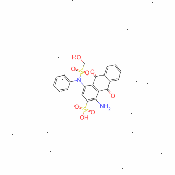 Nc1c(S(=O)(=O)O)cc(N(c2ccccc2)S(=O)(=O)CO)c2c1C(=O)c1ccccc1C2=O